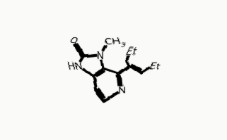 CC/C=C(\CC)c1nccc2[nH]c(=O)n(C)c12